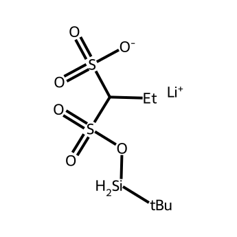 CCC(S(=O)(=O)[O-])S(=O)(=O)O[SiH2]C(C)(C)C.[Li+]